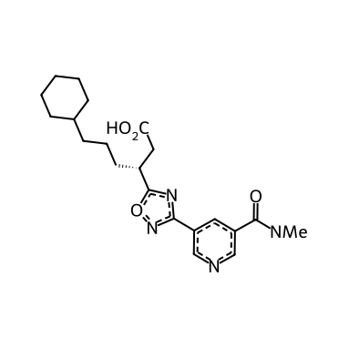 CNC(=O)c1cncc(-c2noc([C@H](CCCC3CCCCC3)CC(=O)O)n2)c1